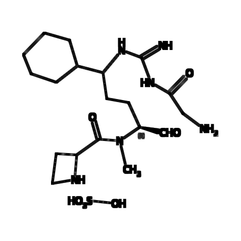 CN(C(=O)C1CCN1)[C@H](C=O)CCC(NC(=N)NC(=O)CN)C1CCCCC1.O=S(=O)(O)O